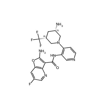 Nc1oc2cc(F)cnc2c1C(=O)Nc1cnccc1N1C[C@@H](N)C[C@@H](C(F)(F)F)C1